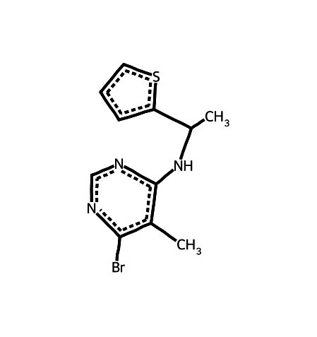 Cc1c(Br)ncnc1NC(C)c1cccs1